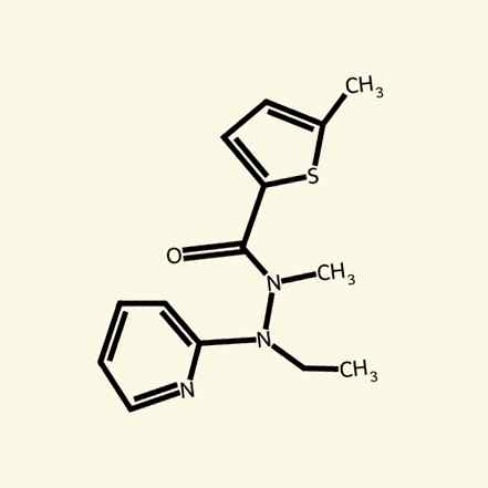 CCN(c1ccccn1)N(C)C(=O)c1ccc(C)s1